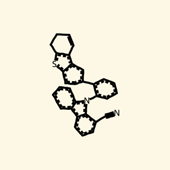 N#Cc1cccc2c3ccccc3n(-c3ccccc3-c3ccc4sc5c(c4c3)C=CCC5)c12